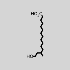 CC(CCO)CCCCCCCCCCCC(=O)O